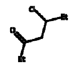 CCC(=O)CC(Cl)CC